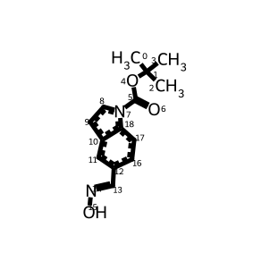 CC(C)(C)OC(=O)n1ccc2cc(C=NO)ccc21